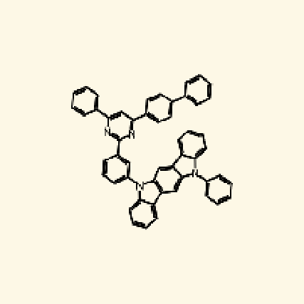 c1ccc(-c2ccc(-c3cc(-c4ccccc4)nc(-c4cccc(-n5c6ccccc6c6cc7c(cc65)c5ccccc5n7-c5ccccc5)c4)n3)cc2)cc1